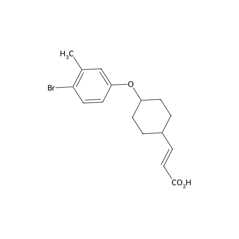 Cc1cc(OC2CCC(C=CC(=O)O)CC2)ccc1Br